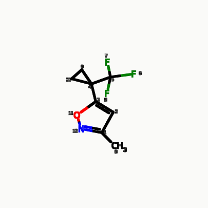 Cc1cc(C2(C(F)(F)F)CC2)on1